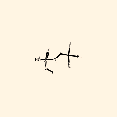 CSP(O)(=S)OCC(F)(F)F